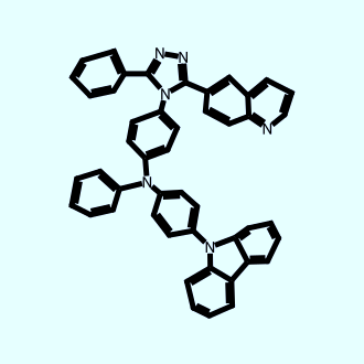 c1ccc(-c2nnc(-c3ccc4ncccc4c3)n2-c2ccc(N(c3ccccc3)c3ccc(-n4c5ccccc5c5ccccc54)cc3)cc2)cc1